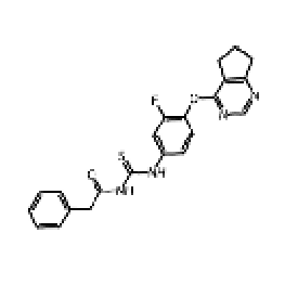 O=C(Cc1ccccc1)NC(=S)Nc1ccc(Oc2ncnc3c2CCC3)c(F)c1